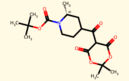 C[C@@H]1CC(C(=O)C2C(=O)OC(C)(C)OC2=O)CCN1C(=O)OC(C)(C)C